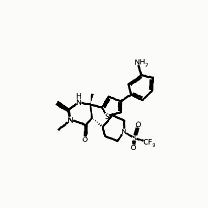 C=C1N[C@](C)(c2cc(-c3cccc(N)c3)cs2)[C@H](C2CCN(S(=O)(=O)C(F)(F)F)CC2)C(=O)N1C